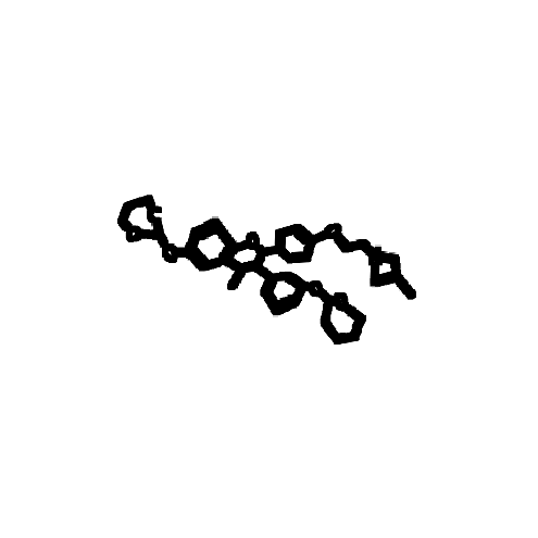 CC1=C(c2cccc(OC3CCCCO3)c2)C(c2ccc(OCCN3CC(C)C3)cc2)Oc2ccc(OC3CCCCO3)cc21